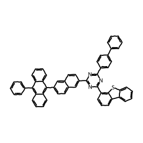 c1ccc(-c2ccc(-c3nc(-c4ccc5cc(-c6c7ccccc7c(-c7ccccc7)c7ccccc67)ccc5c4)nc(-c4cccc5c4sc4ccccc45)n3)cc2)cc1